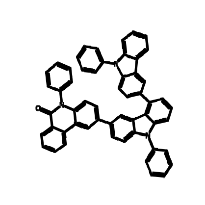 O=c1c2ccccc2c2cc(-c3ccc4c(c3)c3c(-c5ccc6c(c5)c5ccccc5n6-c5ccccc5)cccc3n4-c3ccccc3)ccc2n1-c1ccccc1